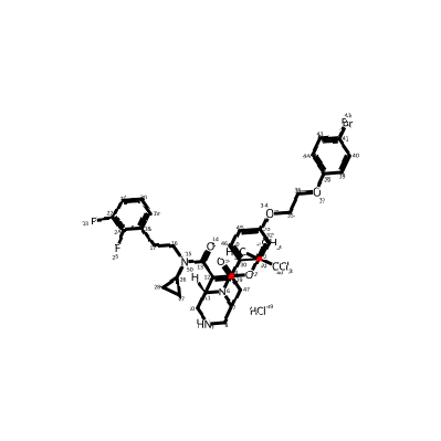 CC(C)(OC(=O)N1C2CNC[C@@H]1C(C(=O)N(CCc1cccc(F)c1F)C1CC1)=C(c1ccc(OCCOc3ccc(Br)cc3)cc1)C2)C(Cl)(Cl)Cl.Cl